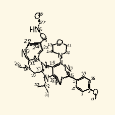 COc1ccc(-c2nc(N3CCOCC3)c3nc(CN(C)c4ncc(ONC=O)cn4)n(C(C)C)c3n2)cc1